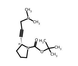 CN(C)CC#C[C@H]1CCCN1C(=O)OC(C)(C)C